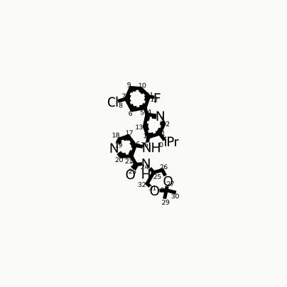 CC(C)c1cnc(-c2cc(Cl)ccc2F)cc1Nc1ccncc1C(=O)NC1COC(C)(C)OC1